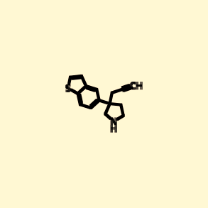 C#CCC1(c2ccc3sccc3c2)CCNC1